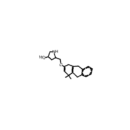 CC1(C)C=C(OCC2CC(O)CN2)CC2=C1Cc1ccccc1C2